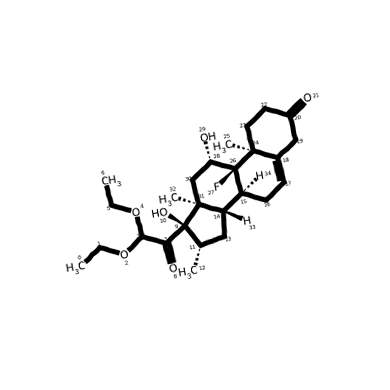 CCOC(OCC)C(=O)[C@@]1(O)[C@@H](C)C[C@H]2[C@@H]3CC=C4CC(=O)CC[C@]4(C)[C@@]3(F)[C@@H](O)C[C@@]21C